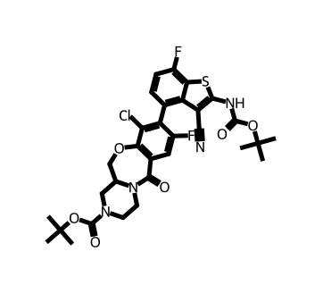 CC(C)(C)OC(=O)Nc1sc2c(F)ccc(-c3c(F)cc4c(c3Cl)OCC3CN(C(=O)OC(C)(C)C)CCN3C4=O)c2c1C#N